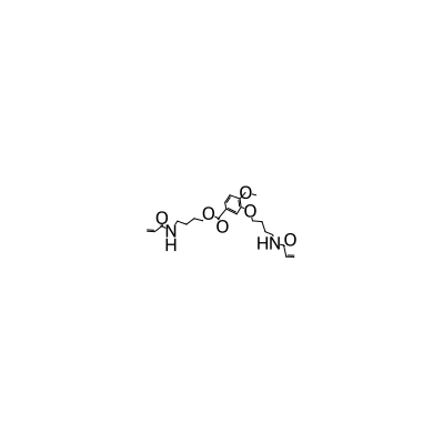 C=CC(=O)NCCCCOC(=O)c1ccc(OC)c(OCCCCNC(=O)C=C)c1